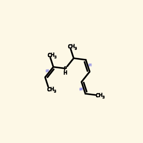 C/C=C\C=C/C(C)P/C(C)=C\C